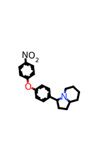 O=[N+]([O-])c1ccc(Oc2ccc(C3CCC4CCCCN43)cc2)cc1